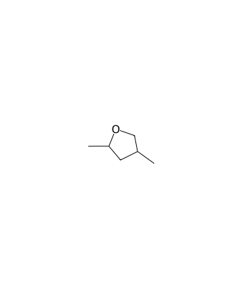 CC1COC(C)C1